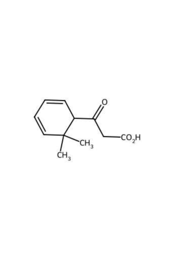 CC1(C)C=CC=CC1C(=O)CC(=O)O